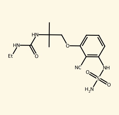 CCNC(=O)NC(C)(C)COc1cccc(NS(N)(=O)=O)c1C#N